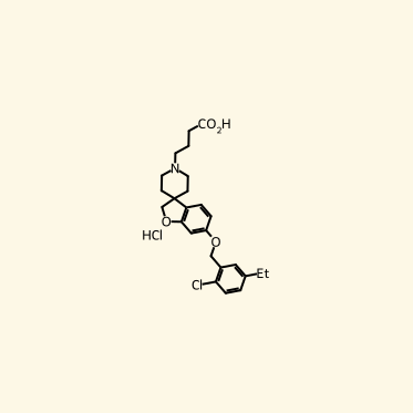 CCc1ccc(Cl)c(COc2ccc3c(c2)OCC32CCN(CCCC(=O)O)CC2)c1.Cl